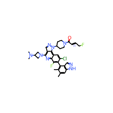 Cc1cc2[nH]ncc2c(-c2c(Cl)cc3c(nc(N4CC(N(C)C)C4)c4cnn(C5CCN(C(=O)/C=C/CF)CC5)c43)c2F)c1C